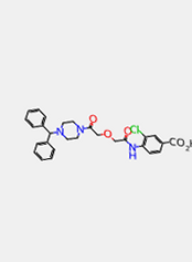 O=C(COCC(=O)N1CCN(C(c2ccccc2)c2ccccc2)CC1)Nc1ccc(C(=O)O)cc1Cl